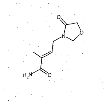 C/C(=C\CN1COCC1=O)C(N)=O